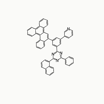 c1ccc(-c2nc(-c3cc(-c4cccnc4)cc(-c4cc5c6ccccc6c6ccccc6c5c5ccccc45)c3)nc(-c3cccc4ccccc34)n2)cc1